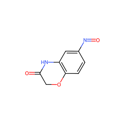 O=Nc1ccc2c(c1)NC(=O)CO2